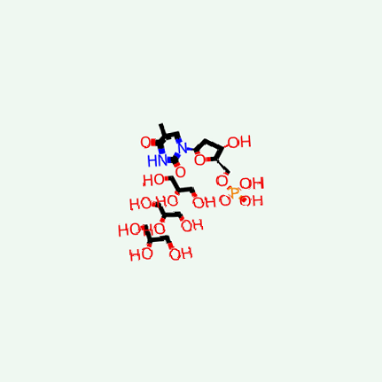 Cc1cn([C@H]2C[C@H](O)[C@@H](COP(=O)(O)O)O2)c(=O)[nH]c1=O.OCC(O)CO.OCC(O)CO.OCC(O)CO